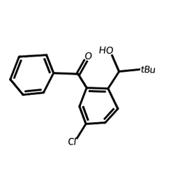 CC(C)(C)C(O)c1ccc(Cl)cc1C(=O)c1ccccc1